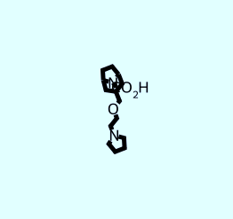 O=C(O)N1C2CCC1CC(COCCN1CCCC1)C2